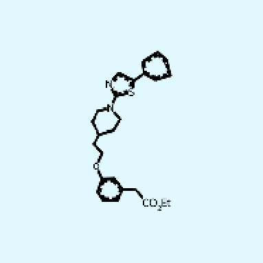 CCOC(=O)Cc1cccc(OCCC2CCN(c3ncc(-c4ccccc4)s3)CC2)c1